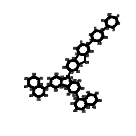 c1ccc(-c2ccc(-c3ccc4c(c3)Cc3cc(-n5c6ccc(-c7cccc8ccccc78)cc6c6cc(-c7cccc8ccccc78)ccc65)ccc3-4)cc2)cc1